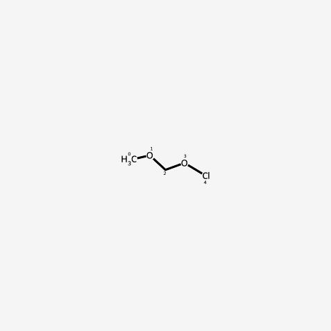 COCOCl